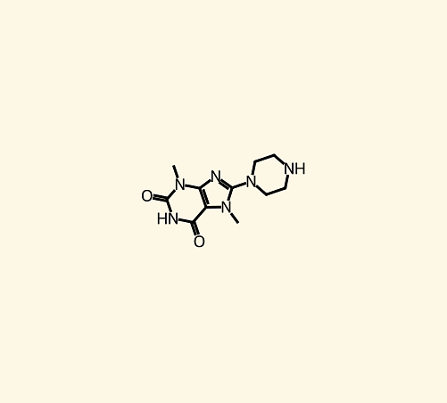 Cn1c(N2CCNCC2)nc2c1c(=O)[nH]c(=O)n2C